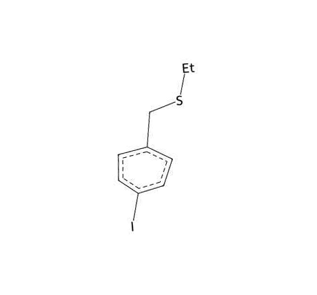 CCSCc1ccc(I)cc1